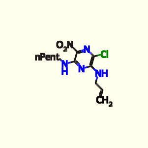 C=CCNc1nc(NCCCCC)c([N+](=O)[O-])nc1Cl